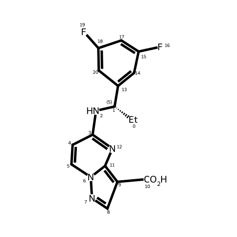 CC[C@H](Nc1ccn2ncc(C(=O)O)c2n1)c1cc(F)cc(F)c1